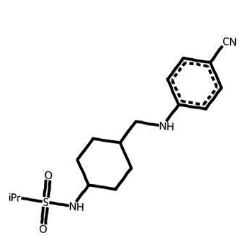 CC(C)S(=O)(=O)NC1CCC(CNc2ccc(C#N)cc2)CC1